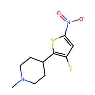 CN1CCC(c2sc([N+](=O)[O-])cc2F)CC1